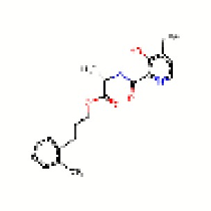 COc1ccnc(C(=O)N[C@@H](C)C(=O)OCCCc2ccccc2C(F)(F)F)c1O